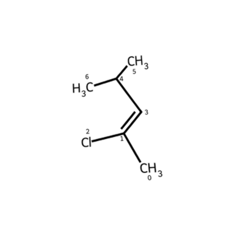 CC(Cl)=CC(C)C